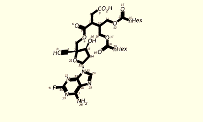 C#C[C@]1(COC(=O)C(CC(=O)O)C(COC(=O)CCCCCC)COC(=O)CCCCCC)O[C@@H](n2cnc3c(N)nc(F)nc32)C[C@@H]1O